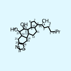 CC(C)CCC[C@@H](C)C1CCC2C1CCC1C3Cc4scnc4CC3C(O)C(O)C12